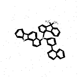 CC1(C)c2ccccc2-c2c(N(c3cccc(-c4cccc5ccccc45)c3)c3cccc4c3ccc3c5ccccc5sc43)cccc21